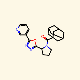 O=C(N1CCCC1c1nnc(-c2cccnc2)o1)C12CC3CC(CC(C3)C1)C2